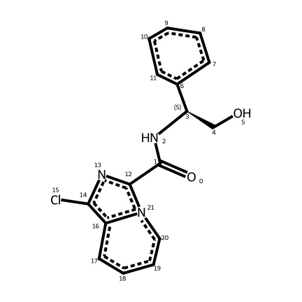 O=C(N[C@H](CO)c1ccccc1)c1nc(Cl)c2ccccn12